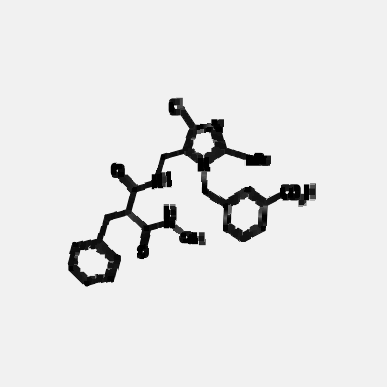 CCCCc1nc(Cl)c(CNC(=O)C(Cc2ccccc2)C(=O)NO)n1Cc1cccc(C(=O)O)c1